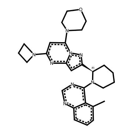 Cc1cccc2ncnc(N3CCCC[C@@H]3c3cc4nc(N5CCC5)cc(N5CCOCC5)n4n3)c12